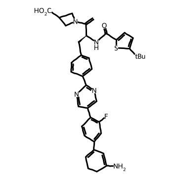 C=C([C@H](Cc1ccc(-c2ncc(-c3ccc(C4=CCCC(N)=C4)cc3F)cn2)cc1)NC(=O)c1ccc(C(C)(C)C)s1)N1CC(C(=O)O)C1